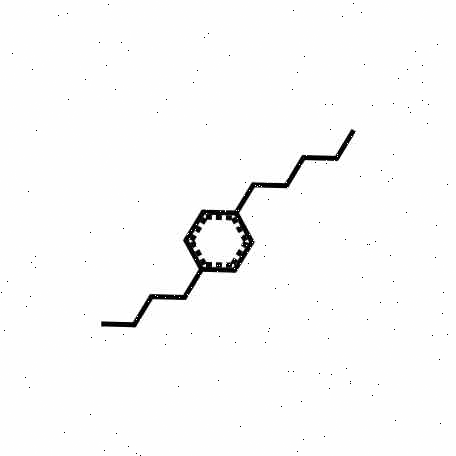 CCCCCc1ccc(CCCC)cc1